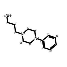 [NH]CCCN1CCN(c2ccccc2)CC1